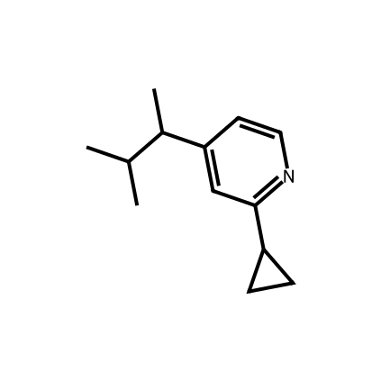 CC(C)C(C)c1ccnc(C2CC2)c1